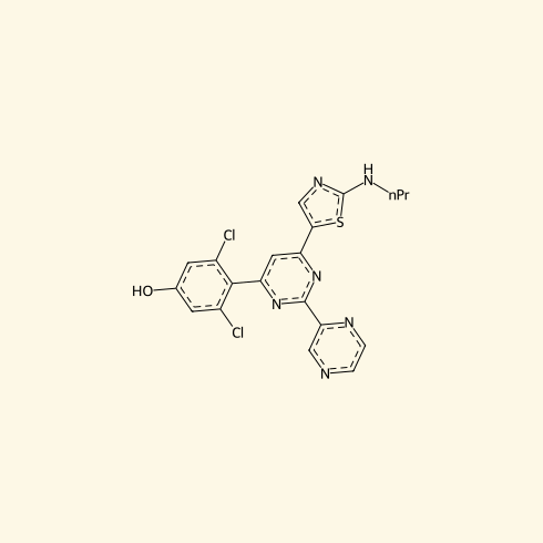 CCCNc1ncc(-c2cc(-c3c(Cl)cc(O)cc3Cl)nc(-c3cnccn3)n2)s1